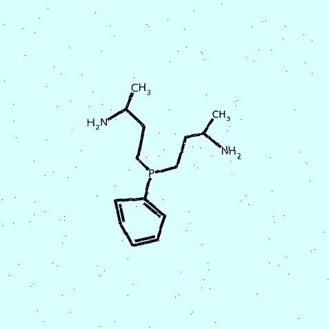 CC(N)CCP(CCC(C)N)c1ccccc1